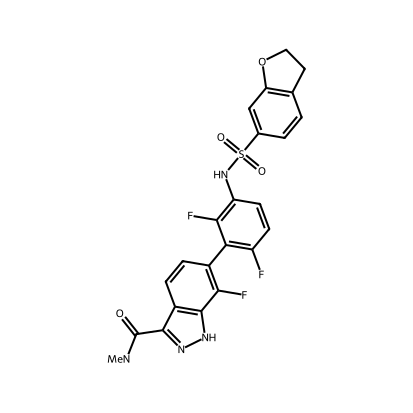 CNC(=O)c1n[nH]c2c(F)c(-c3c(F)ccc(NS(=O)(=O)c4ccc5c(c4)OCC5)c3F)ccc12